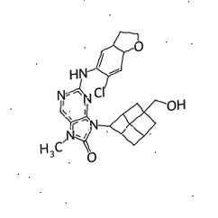 Cn1c(=O)n(C2C3CC4CC5(CO)CC2C435)c2nc(NC3=CC4CCOC4C=C3Cl)ncc21